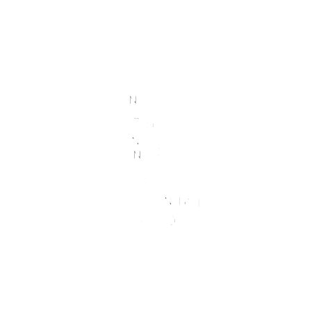 CC(=O)Nc1ccccc1C#Cc1ccc(OC2CN3CCC2CC3)nn1